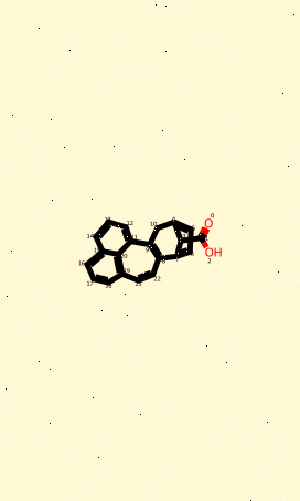 O=C(O)C1C2=CC=C1C1=C(C2)c2cccc3cccc(c23)C=C1